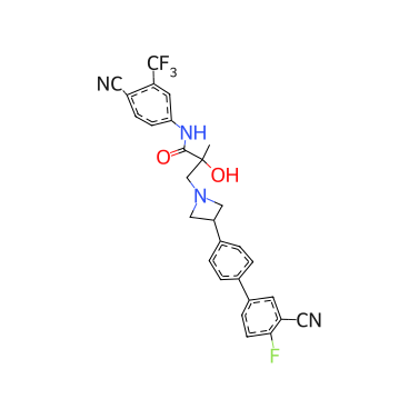 CC(O)(CN1CC(c2ccc(-c3ccc(F)c(C#N)c3)cc2)C1)C(=O)Nc1ccc(C#N)c(C(F)(F)F)c1